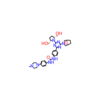 CN1CCN(c2ccc(NC(=O)Nc3ccc(-c4nc(N5CC6CCC(C5)O6)nc(N5[C@H](CO)CC[C@@H]5CO)n4)cc3)cc2)CC1